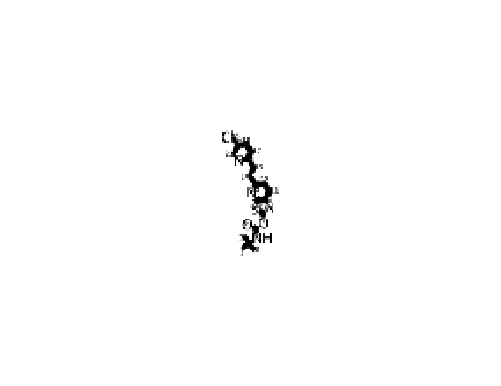 CC(C)(C)NC(=O)Oc1nc2ccc(CCc3ccc(Cl)cn3)nc2s1